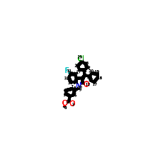 COC(=O)c1cccc(CN2C(=O)/C(=C(\c3ccccc3)c3ccc(Cl)cc3)c3cc(F)ccc32)c1